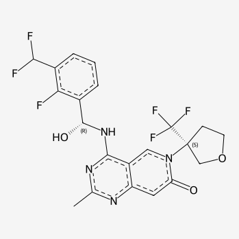 Cc1nc(N[C@H](O)c2cccc(C(F)F)c2F)c2cn([C@@]3(C(F)(F)F)CCOC3)c(=O)cc2n1